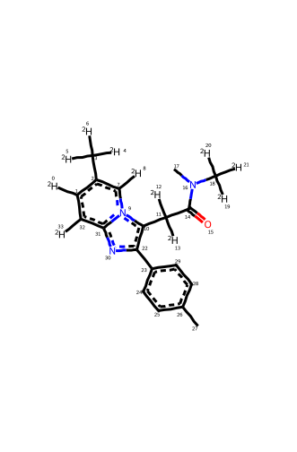 [2H]c1c(C([2H])([2H])[2H])c([2H])n2c(C([2H])([2H])C(=O)N(C)C([2H])([2H])[2H])c(-c3ccc(C)cc3)nc2c1[2H]